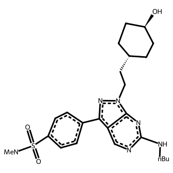 CCCCNc1ncc2c(-c3ccc(S(=O)(=O)NC)cc3)nn(CC[C@H]3CC[C@H](O)CC3)c2n1